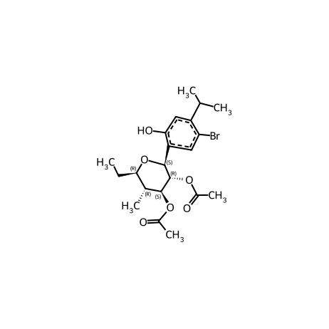 CC[C@H]1O[C@@H](c2cc(Br)c(C(C)C)cc2O)[C@H](OC(C)=O)[C@@H](OC(C)=O)[C@@H]1C